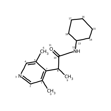 Cc1cncc(C)c1C(C)C(=O)NC1CCCCC1